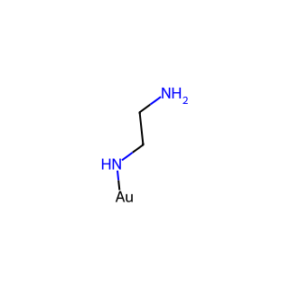 NCC[NH][Au]